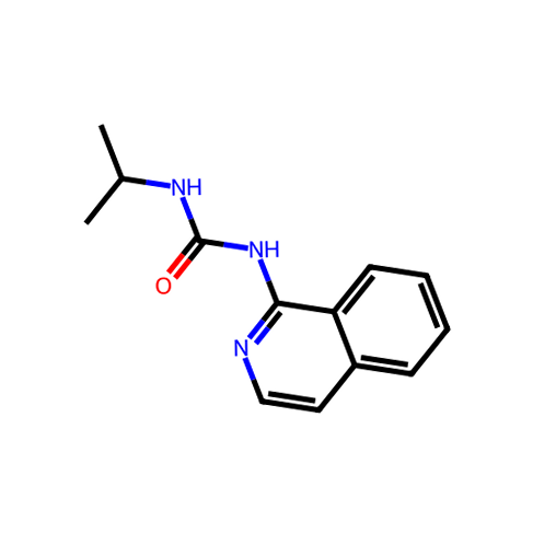 CC(C)NC(=O)Nc1nccc2ccccc12